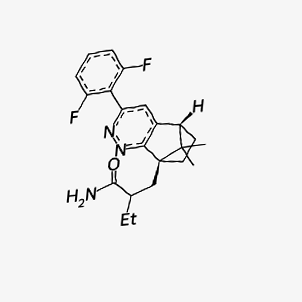 CCC(C[C@@]12CC[C@@H](c3cc(-c4c(F)cccc4F)nnc31)C2(C)C)C(N)=O